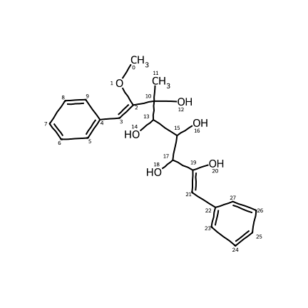 COC(=Cc1ccccc1)C(C)(O)C(O)C(O)C(O)C(O)=Cc1ccccc1